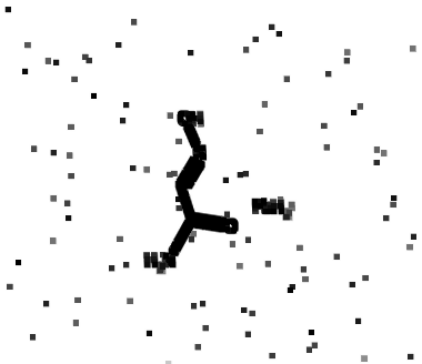 NC(=O)C=NO.[PbH2]